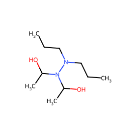 CCCN(CCC)N(C(C)O)C(C)O